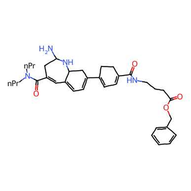 CCCN(CCC)C(=O)C1=CC2=CC=C(C3=CC=C(C(=O)NCCCC(=O)OCc4ccccc4)CC3)CC2NC(N)C1